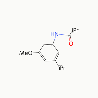 COc1cc(NC(=O)C(C)C)cc(C(C)C)c1